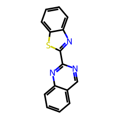 c1ccc2nc(-c3nc4ccccc4s3)ncc2c1